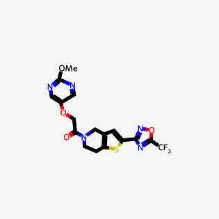 COc1ncc(OCC(=O)N2CCc3sc(-c4noc(C(F)(F)F)n4)cc3C2)cn1